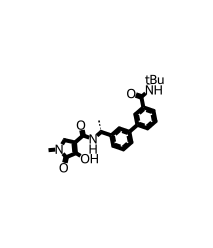 C[C@@H](NC(=O)C1=C(O)C(=O)N(C)C1)c1cccc(-c2cccc(C(=O)NC(C)(C)C)c2)c1